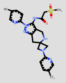 CS(=O)(=O)CC(=O)Nc1c2c(nn1-c1ccc(C#N)cn1)CC1(CN(c3ccc(C(F)(F)F)cn3)C1)NC2